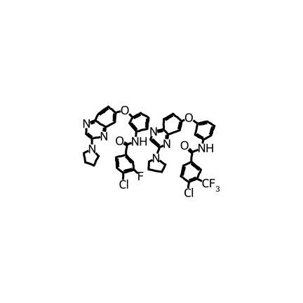 O=C(Nc1cccc(Oc2ccc3ncc(N4CCCC4)nc3c2)c1)c1ccc(Cl)c(C(F)(F)F)c1.O=C(Nc1cccc(Oc2ccc3ncc(N4CCCC4)nc3c2)c1)c1ccc(Cl)c(F)c1